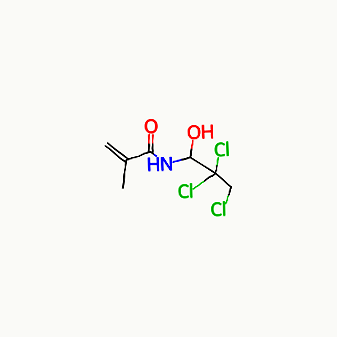 C=C(C)C(=O)NC(O)C(Cl)(Cl)CCl